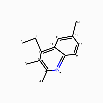 CCc1c(C)c(C)nc2ccc(C)cc12